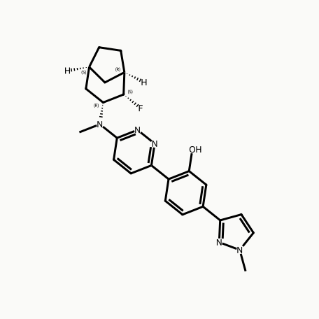 CN(c1ccc(-c2ccc(-c3ccn(C)n3)cc2O)nn1)[C@@H]1C[C@H]2CC[C@H](C2)[C@@H]1F